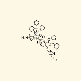 Cc1nnc(CSC2=C(C(=O)OC(c3ccccc3)c3ccccc3)N3C(=O)[C@@H](NC(=O)/C(=N\OC(c4ccccc4)(c4ccccc4)c4ccccc4)c4csc(N)n4)[C@@H]3SC2)s1